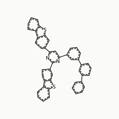 c1ccc(-c2cccc(-c3cccc(-c4cc(-c5ccc6c(c5)sc5ccccc56)nc(-c5ccc6c(c5)sc5ccccc56)n4)c3)c2)cc1